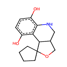 Oc1ccc(O)c2c1NCC1COC3(CCCC3)C21